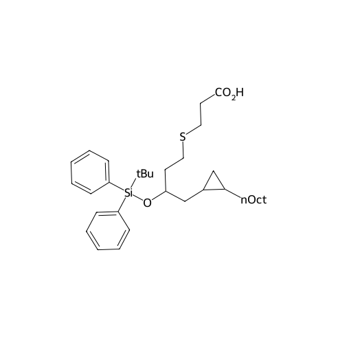 CCCCCCCCC1CC1CC(CCSCCC(=O)O)O[Si](c1ccccc1)(c1ccccc1)C(C)(C)C